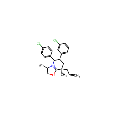 C=CC[C@@]1(C)C[C@H](c2cccc(Cl)c2)C(c2ccc(Cl)cc2)[N+]2=C1OCC2C(C)C